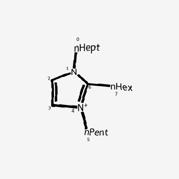 CCCCCCCn1cc[n+](CCCCC)c1CCCCCC